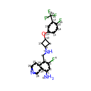 Nc1cc(F)c(CNC2CC(Oc3ccc(F)c(C(F)(F)F)c3)C2)c2ccncc12